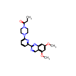 CCC(=O)N1CCN(c2cccc(-c3ncc4c(OC)cc(OC)cc4n3)n2)CC1